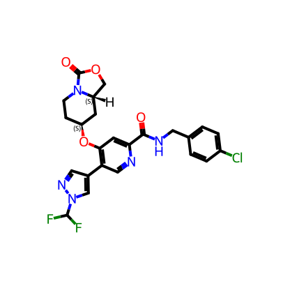 O=C(NCc1ccc(Cl)cc1)c1cc(O[C@H]2CCN3C(=O)OC[C@@H]3C2)c(-c2cnn(C(F)F)c2)cn1